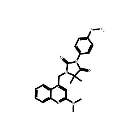 CN(C)c1cc(CN2C(=O)N(c3ccc(SC(F)(F)F)cc3)C(=O)C2(C)C)c2ccccc2n1